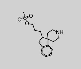 CS(=O)(=O)OCCCC1Cc2ccccc2C12CCNCC2